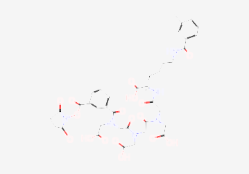 Cc1cccc(C(=O)NCCCC[C@@H](NC(=O)CN(CC(=O)O)C(=O)CN(CC(=O)O)C(=O)CN(CC(=O)O)C(=O)c2cccc(C(=O)ON3C(=O)CCC3=O)c2)C(=O)O)c1